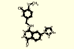 COc1ccc(CNc2nnc(Cl)c3ccc(-n4ccnn4)cc23)cc1Cl